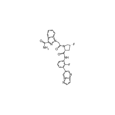 NC(=O)c1nn(CC(=O)N2C[C@H](F)C[C@H]2C(=O)Nc2cccc(-c3cnc4ccnn4c3)c2F)c2ccccc12